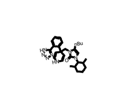 CCCCc1cn(C2C(C)CCCC2C)c(=O)n1CC1(c2ccccc2-c2nnn[nH]2)C=CNC=C1